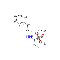 CCC(NC/C=C/c1ccccc1)[Si](OC)(OC)OC